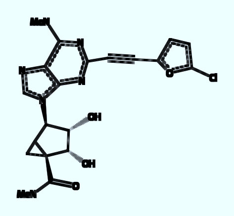 CNC(=O)[C@@]12CC1[C@@H](n1cnc3c(NC)nc(C#Cc4ccc(Cl)o4)nc31)[C@H](O)[C@@H]2O